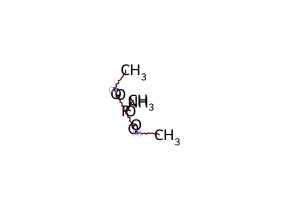 CCCCCCCCCC/C=C\COC(=O)CCCCCCCP(CCCCCCCC(=O)OC/C=C\CCCCCCCCCC)C(=O)CCCNC